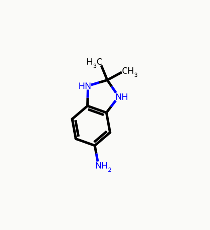 CC1(C)Nc2ccc(N)cc2N1